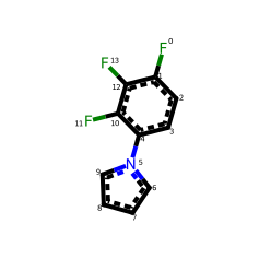 Fc1ccc(-n2cccc2)c(F)c1F